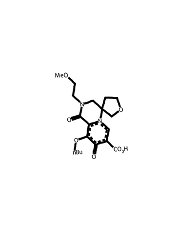 CCCCOc1c2n(cc(C(=O)O)c1=O)C1(CCOC1)CN(CCOC)C2=O